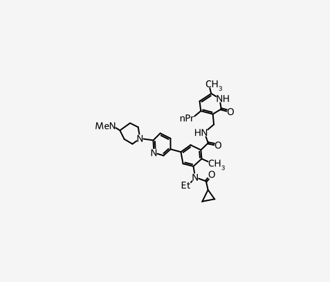 CCCc1cc(C)[nH]c(=O)c1CNC(=O)c1cc(-c2ccc(N3CCC(NC)CC3)nc2)cc(N(CC)C(=O)C2CC2)c1C